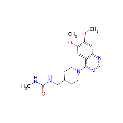 CNC(=O)NCC1CCN(c2ncnc3cc(OC)c(OC)cc23)CC1